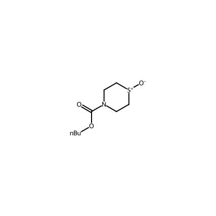 CCCCOC(=O)N1CC[S+]([O-])CC1